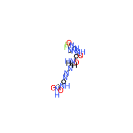 COc1cc(C(=O)NC2[C@H]3CN(CCN4CCN(c5ccc(NC6CCC(=O)NC6=O)cc5)CC4)C[C@@H]23)ccc1Nc1ncc2c(n1)N(C(C)C)CC(F)(F)C(=O)N2C